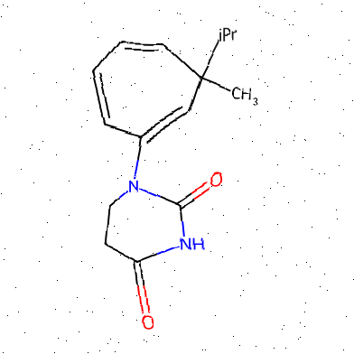 CC(C)C1(C)C=CC=CC(N2CCC(=O)NC2=O)=C1